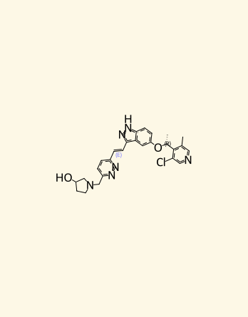 Cc1cncc(Cl)c1[C@@H](C)Oc1ccc2[nH]nc(/C=C/c3ccc(CN4CCC(O)C4)nn3)c2c1